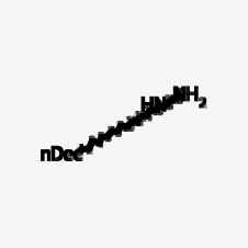 CCCCCCCCCCCCCCCCCCCCCCCCCCNCCCN